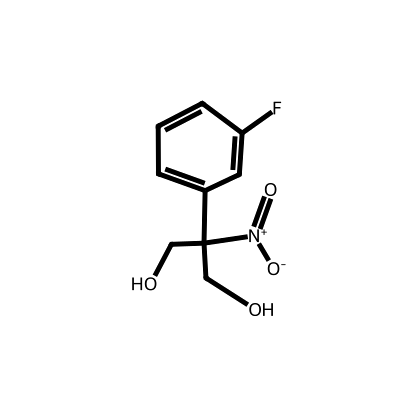 O=[N+]([O-])C(CO)(CO)c1cccc(F)c1